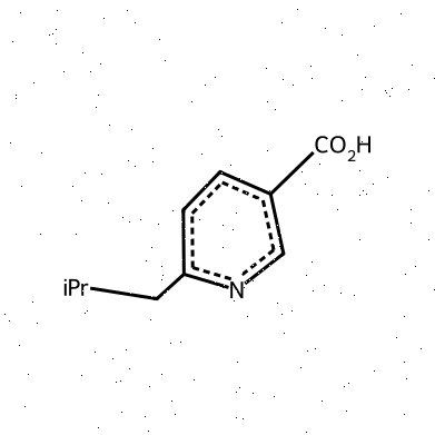 CC(C)Cc1ccc(C(=O)O)cn1